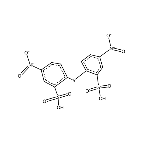 O=[N+]([O-])c1ccc(Sc2ccc([N+](=O)[O-])cc2S(=O)(=O)O)c(S(=O)(=O)O)c1